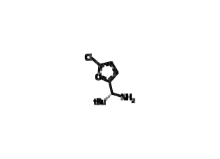 CC(C)(C)[C@@H](N)c1ccc(Cl)o1